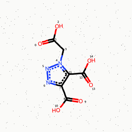 O=C(O)Cn1nnc(C(=O)O)c1C(=O)O